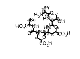 CCC(C)C(NC(=O)C(CCC(=O)O)NC(=O)C(CCC(=O)O)NC(=O)C(NC(=O)C(N)C(C)C)C(C)O)C(=O)O